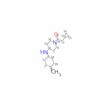 C[C@H]1CC[C@H](NC2CCN(C(=O)CC3CC3)CC2)CC1